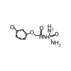 NP(N)(=O)NC(=O)COc1cccc(Cl)c1